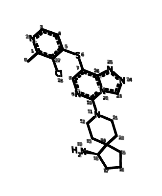 Cc1nccc(Sc2cnc(N3CCC4(CCC[C@H]4N)CC3)n3cnnc23)c1Cl